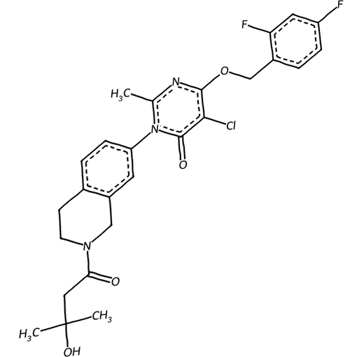 Cc1nc(OCc2ccc(F)cc2F)c(Cl)c(=O)n1-c1ccc2c(c1)CN(C(=O)CC(C)(C)O)CC2